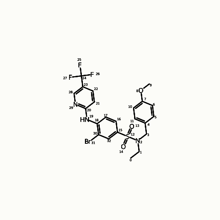 CCN(Cc1ccc(OC)cc1)S(=O)(=O)c1ccc(Nc2ccc(C(F)(F)F)cn2)c(Br)c1